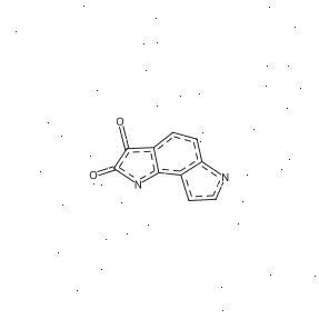 O=c1nc2c(ccc3nccc32)c1=O